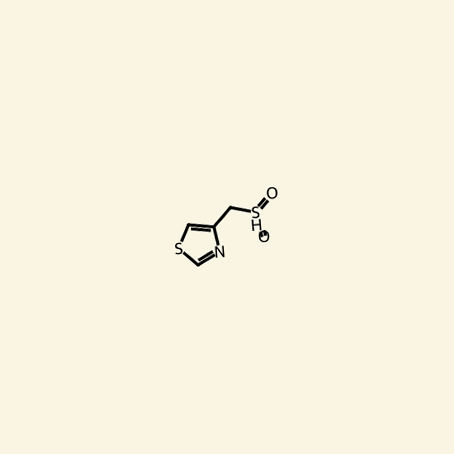 O=[SH](=O)Cc1cscn1